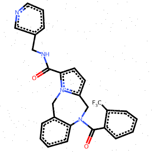 O=C(NCc1cccnc1)c1ccc2n1Cc1ccccc1N(C(=O)c1ccccc1C(F)(F)F)C2